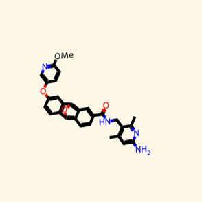 COc1ccc(Oc2ccc3c(c2)c2oc3c3ccc(C(=O)NCc4c(C)cc(N)nc4C)cc32)cn1